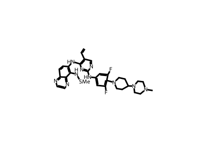 C=Cc1cnc(Nc2cc(F)c(N3CCC(N4CCN(C)CC4)CC3)c(F)c2)nc1Nc1ccc2nccnc2c1NSC